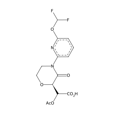 CC(=O)OC(C(=O)O)[C@H]1OCCN(c2cccc(OC(F)F)n2)C1=O